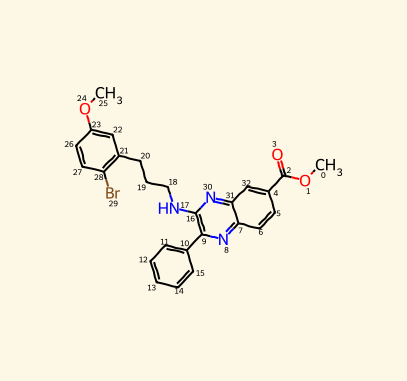 COC(=O)c1ccc2nc(-c3ccccc3)c(NCCCc3cc(OC)ccc3Br)nc2c1